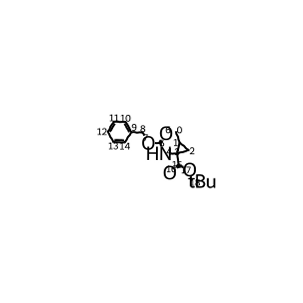 CC1CC1(NC(=O)OCc1ccccc1)C(=O)OC(C)(C)C